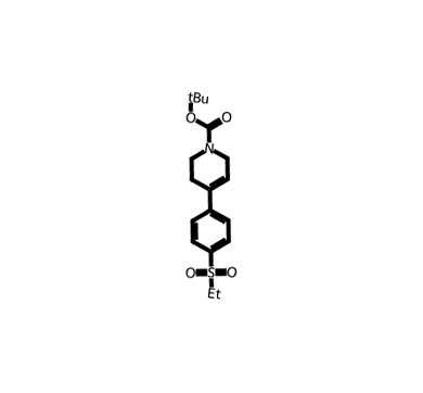 CCS(=O)(=O)c1ccc(C2=CCN(C(=O)OC(C)(C)C)CC2)cc1